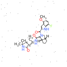 COc1ccc(F)c2[nH]c(C(=O)N3C[C@@H]4CCC[C@@H]4[C@H]3C(=O)N[C@H](C)C[C@@H]3CC(C)(C)NC3=O)cc12